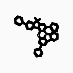 CC1(C)c2cc(-c3ccccc3)ccc2-c2c1cc(-c1ccccc1)c1c2Oc2cc(-c3ccccc3)cc3c4ccccc4n-1c23